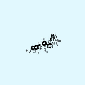 Cc1c(NC(=O)c2cc3c(cc2F)C(C)(C)CC3)cc(F)cc1-c1ncnc(N)c1OCCN(C)C(=O)OC(C)(C)C